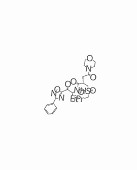 CC[C@H](NC(=O)[C@@H](CC(=O)N1CCOCC1)CS(=O)(=O)CC(C)C)C(=O)c1nc(-c2ccccc2)no1